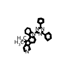 CC1(C)c2ccncc2-c2ccc3c(c4c(n3-c3nc(-c5ccccc5)nc(-c5ccccc5)n3)CCCC4)c21